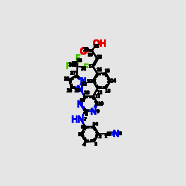 N#Cc1cccc(Nc2ncc(-c3cccc(C=CC(=O)O)c3)c(-n3ccc(C(F)(F)F)n3)n2)c1